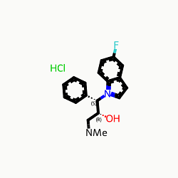 CNC[C@@H](O)[C@H](c1ccccc1)n1ccc2cc(F)ccc21.Cl